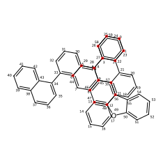 c1ccc(-c2ccccc2-c2c(-c3ccccc3)cccc2-c2ccccc2N(c2cccc(-c3cccc4ccccc34)c2)c2ccc3oc4ccccc4c3c2)cc1